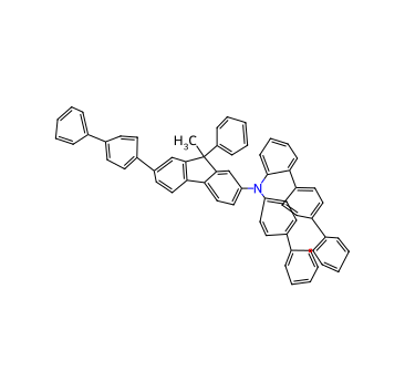 CC1(c2ccccc2)c2cc(-c3ccc(-c4ccccc4)cc3)ccc2-c2ccc(N(c3ccc(-c4ccccc4)cc3)c3ccccc3-c3ccc(-c4ccccc4)cc3)cc21